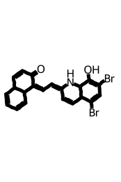 O=C1C=CC2C=CC=CC2/C1=C/C=C1\C=CC2C(Br)=CC(Br)=C(O)C2N1